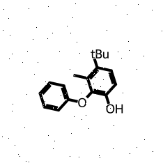 Cc1c(C(C)(C)C)ccc(O)c1Oc1ccccc1